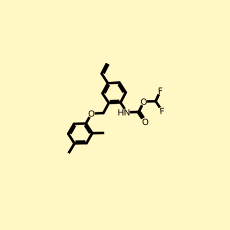 C=Cc1ccc(NC(=O)OC(F)F)c(COc2ccc(C)cc2C)c1